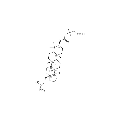 CC(C)(CC(=O)O)CC(=O)O[C@H]1CC[C@@]2(C)C(CC[C@]3(C)C2CC[C@@H]2[C@H]4CCC[C@]4(CC[S+](N)[O-])CC[C@]23C)C1(C)C